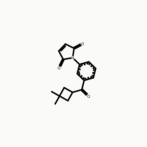 CC1(C)CC(C(=O)c2cccc(N3C(=O)C=CC3=O)c2)C1